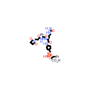 CC(C)CC(OP(=O)(O)OCc1ccc(NC(=O)[C@H](CCCNC(N)=O)NC(=O)[C@@H](NC(=O)CCN2C(=O)C=CC2=O)C(C)C)cc1)C(=O)O